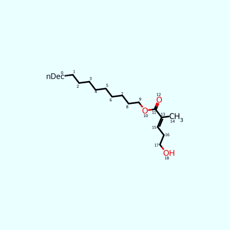 CCCCCCCCCCCCCCCCCCCOC(=O)C(C)=CCCO